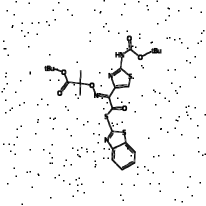 CC(C)(C)OC(=O)Nc1nc(C(=NOC(C)(C)C(=O)OC(C)(C)C)C(=O)Sc2nc3ccccc3s2)cs1